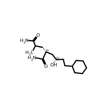 CC(C[C@H](C[C@@H](O)[CH]CC1CCCCC1)C(N)=O)C(N)=O